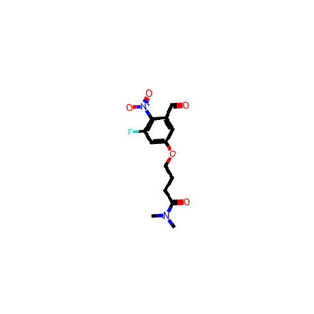 CN(C)C(=O)CCCOc1cc(F)c([N+](=O)[O-])c(C=O)c1